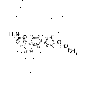 COCOc1ccc(-c2ccc3c(c2)CCCC3OC(N)=O)cc1